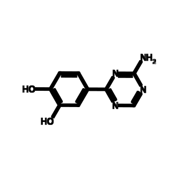 Nc1ncnc(-c2ccc(O)c(O)c2)n1